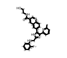 Cc1cccc(-c2nc(CNc3ccccc3F)[nH]c2-c2ccc3ncc(C(=O)NCCO)cc3c2)n1